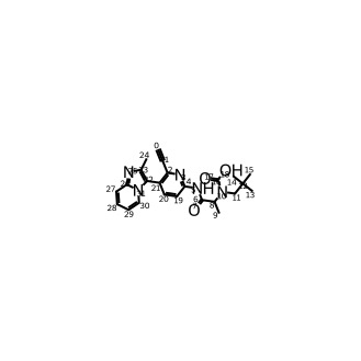 C#Cc1nc(NC(=O)C(C)N(CC(C)(C)C)C(=O)O)ccc1-c1c(C)nc2ccccn12